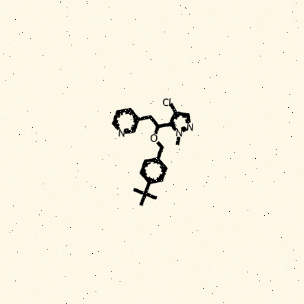 Cn1ncc(Cl)c1C(Cc1cccnc1)OCc1ccc(C(C)(C)C)cc1